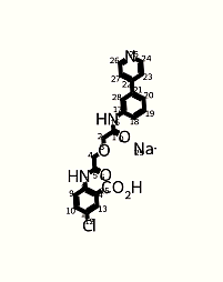 O=C(COCC(=O)Nc1ccc(Cl)cc1C(=O)O)Nc1cccc(-c2ccncc2)c1.[Na]